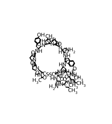 CC[C@H](C)[C@H](NC(=O)[C@H](CC(C)C)NC(=O)[C@H](CN)NC(=O)[C@@H]1CSSC[C@H](NC(C)=O)C(=O)N2CCC[C@H]2C(=O)N2CCC[C@H]2C(=O)N[C@@H](Cc2ccc(O)cc2)C(=O)N[C@@H](CC(C)C)C(=O)N2CCC[C@H]2C(=O)N[C@@H](CN)C(=O)N[C@@H](Cc2ccc(OC)cc2)C(=O)N[C@@H](CC(C)C)C(=O)N1)C(N)=O